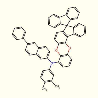 Cc1ccc(N(c2ccc3cc(-c4ccccc4)ccc3c2)c2cccc3c2Oc2ccc4c(c2O3)-c2ccccc2C42c3ccccc3-c3ccccc32)cc1C